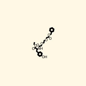 CCOC(=O)C(Cc1ccc(O)cc1)NC(=O)COCCOCC(=O)OCc1ccccc1